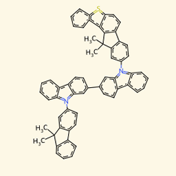 CC1(C)c2ccccc2-c2ccc(-n3c4ccccc4c4ccc(-c5ccc6c7ccccc7n(-c7ccc8c(c7)C(C)(C)c7c-8ccc8sc9ccccc9c78)c6c5)cc43)cc21